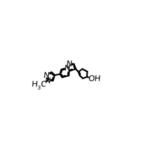 Cn1cc(-c2ccc3c(C4=CCC(O)CC4)cnn3c2)cn1